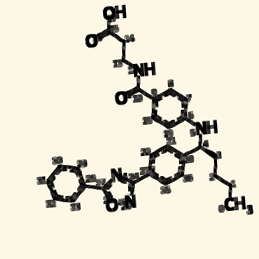 CCCC[C@H](Nc1ccc(C(=O)NCCC(=O)O)cc1)c1ccc(-c2noc(-c3ccccc3)n2)cc1